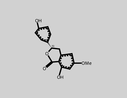 COc1cc(O)c2c(c1)C[C@@H](c1ccc(O)cc1)OC2=O